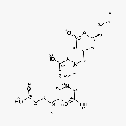 CCCC[C@@H](CCCN(CCN(CCC(C)CCC(=O)O)CC(=O)O)CC(=O)O)CC(=O)I